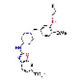 COc1ccc(CN2CCC(Nc3nc4ccc(C(=O)O)cc4o3)CC2)cc1OCCF